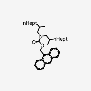 CCCCCCCC(C)CN(CC(C)CCCCCCC)C(=O)OCc1c2ccccc2cc2ccccc12